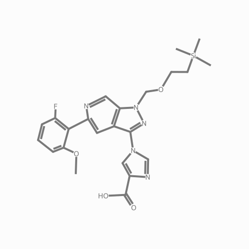 COc1cccc(F)c1-c1cc2c(-n3cnc(C(=O)O)c3)nn(COCC[Si](C)(C)C)c2cn1